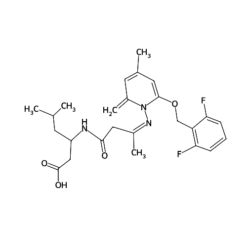 C=C1C=C(C)C=C(OCc2c(F)cccc2F)N1/N=C(/C)CC(=O)NC(CC(=O)O)CC(C)C